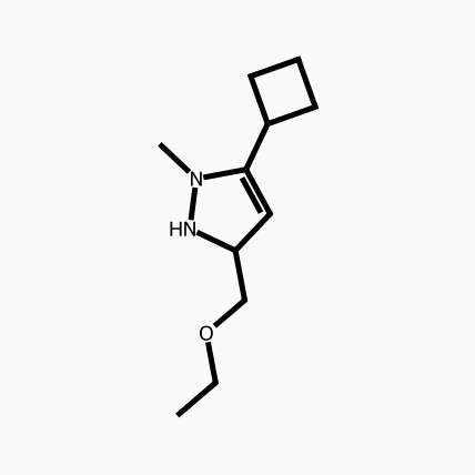 CCOCC1C=C(C2CCC2)N(C)N1